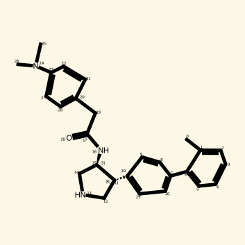 Cc1ccccc1-c1ccc([C@@H]2CNC[C@H]2NC(=O)Cc2ccc(N(C)C)cc2)cc1